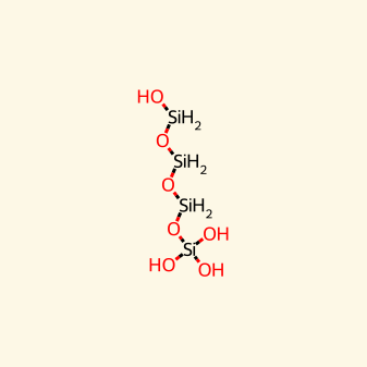 O[SiH2]O[SiH2]O[SiH2]O[Si](O)(O)O